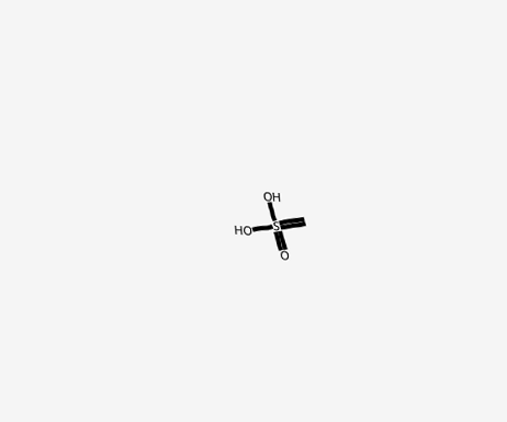 C=S(=O)(O)O